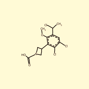 COc1c(C(C)Cl)cc(Cl)c(Cl)c1C1CN(C(=O)O)C1